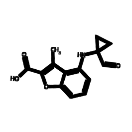 Cc1c(C(=O)O)oc2cccc(NC3(C=O)CC3)c12